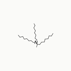 CCCCCCCCC(C)N(CCCCCCCC)CCCCCCCC